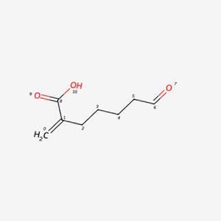 C=C(CCCCC=O)C(=O)O